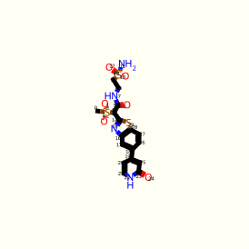 CS(=O)(=O)C(C(=O)NCCS(N)(=O)=O)c1nc2cc(-c3cc[nH]c(=O)c3)ccc2s1